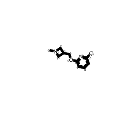 CN1CC(COc2cccc(Cl)n2)C1